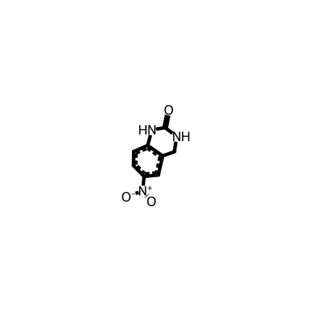 O=C1NCc2cc([N+](=O)[O-])ccc2N1